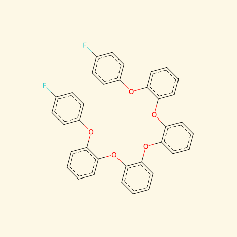 Fc1ccc(Oc2ccccc2Oc2ccccc2Oc2ccccc2Oc2ccccc2Oc2ccc(F)cc2)cc1